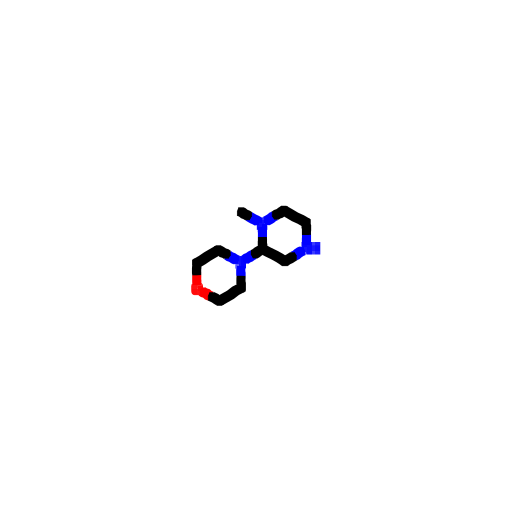 CN1CCNC[C]1N1CCOCC1